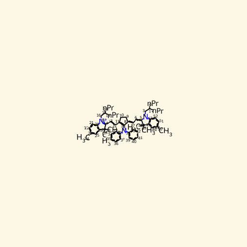 CCCC(CCC)CN1/C(=C/C=C2\CCC(/C=C/C3=[N+](CC(CCC)CCC)c4ccc(C)cc4C3(C)C)=C2N(c2ccccc2)c2ccccc2)C(C)(C)c2cc(C)ccc21